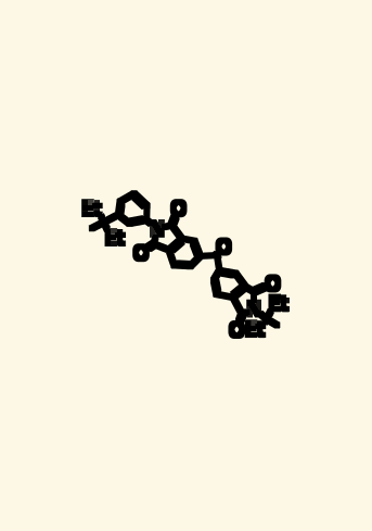 CCC(C)(CC)c1cccc(N2C(=O)c3ccc(C(=O)c4ccc5c(c4)C(=O)N(C(C)(CC)CC)C5=O)cc3C2=O)c1